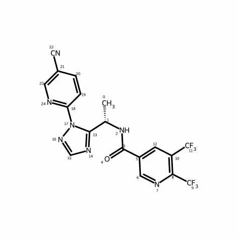 C[C@H](NC(=O)c1cnc(C(F)(F)F)c(C(F)(F)F)c1)c1ncnn1-c1ccc(C#N)cn1